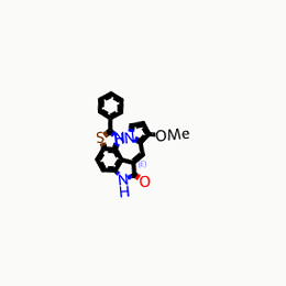 COc1cc[nH]c1/C=C1/C(=O)Nc2ccc3sc(-c4ccccc4)nc3c21